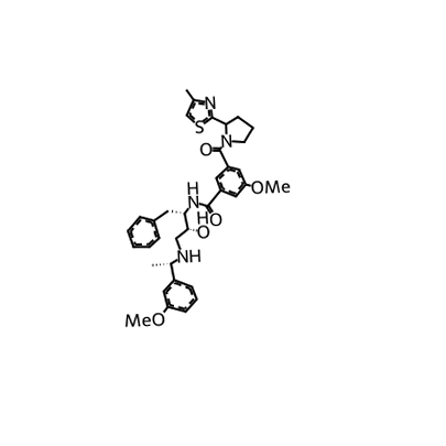 COc1cc(C(=O)N[C@@H](Cc2ccccc2)[C@H](O)CN[C@@H](C)c2cccc(OC)c2)cc(C(=O)N2CCCC2c2nc(C)cs2)c1